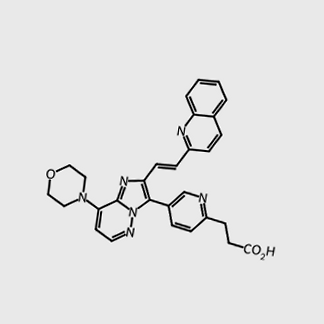 O=C(O)CCc1ccc(-c2c(C=Cc3ccc4ccccc4n3)nc3c(N4CCOCC4)ccnn23)cn1